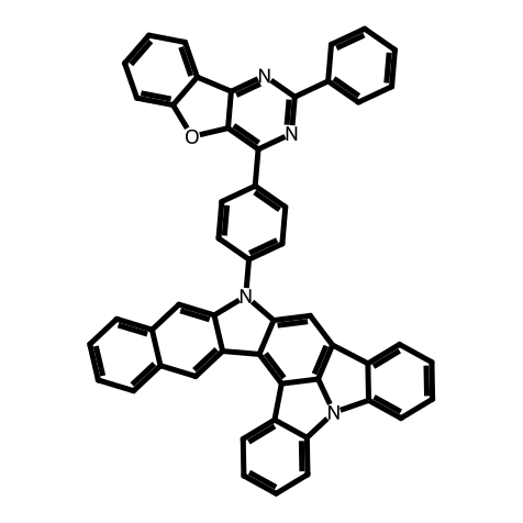 c1ccc(-c2nc(-c3ccc(-n4c5cc6ccccc6cc5c5c6c7ccccc7n7c8ccccc8c(cc54)c67)cc3)c3oc4ccccc4c3n2)cc1